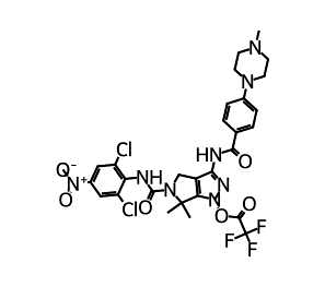 CN1CCN(c2ccc(C(=O)Nc3nn(OC(=O)C(F)(F)F)c4c3CN(C(=O)Nc3c(Cl)cc([N+](=O)[O-])cc3Cl)C4(C)C)cc2)CC1